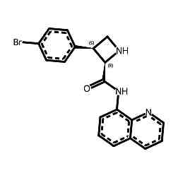 O=C(Nc1cccc2cccnc12)[C@@H]1NC[C@@H]1c1ccc(Br)cc1